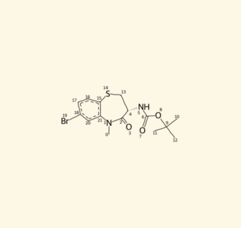 CN1C(=O)[C@@H](NC(=O)OC(C)(C)C)CSc2ccc(Br)cc21